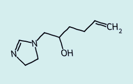 C=CCCC(O)CN1C=NCC1